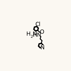 Nc1ccc(Cl)cc1C(=O)NCCCc1cccnc1